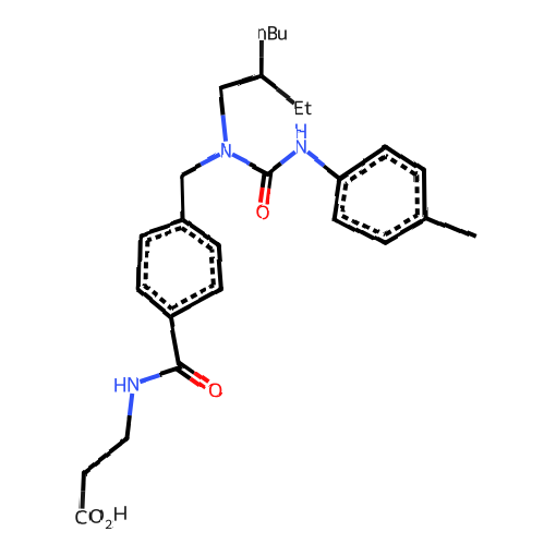 CCCCC(CC)CN(Cc1ccc(C(=O)NCCC(=O)O)cc1)C(=O)Nc1ccc(C)cc1